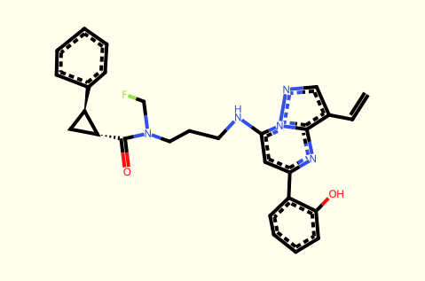 C=Cc1cnn2c(NCCCN(CF)C(=O)[C@@H]3C[C@H]3c3ccccc3)cc(-c3ccccc3O)nc12